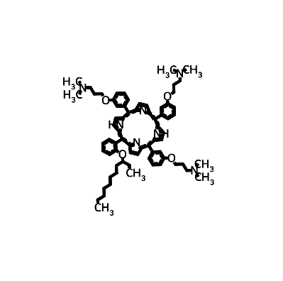 CCCCCCCCC(CC)Oc1ccccc1-c1c2nc(c(-c3cccc(OCCCN(C)C)c3)c3ccc([nH]3)c(-c3cccc(OCCCN(C)C)c3)c3nc(c(-c4cccc(OCCCN(C)C)c4)c4ccc1[nH]4)C=C3)C=C2